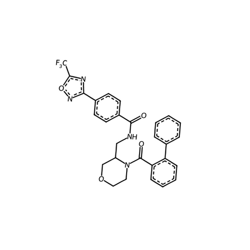 O=C(NCC1COCCN1C(=O)c1ccccc1-c1ccccc1)c1ccc(-c2noc(C(F)(F)F)n2)cc1